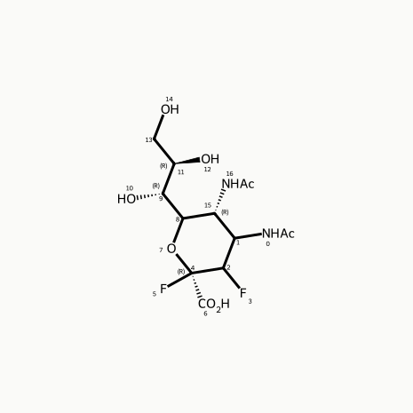 CC(=O)NC1C(F)[C@](F)(C(=O)O)OC([C@H](O)[C@H](O)CO)[C@@H]1NC(C)=O